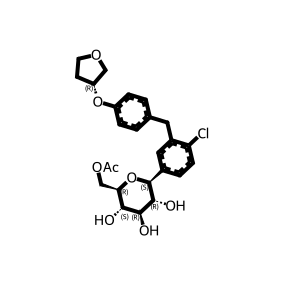 CC(=O)OC[C@H]1O[C@@H](c2ccc(Cl)c(Cc3ccc(O[C@@H]4CCOC4)cc3)c2)[C@H](O)[C@@H](O)[C@@H]1O